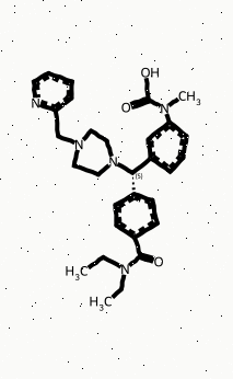 CCN(CC)C(=O)c1ccc([C@@H](c2cccc(N(C)C(=O)O)c2)N2CCN(Cc3ccccn3)CC2)cc1